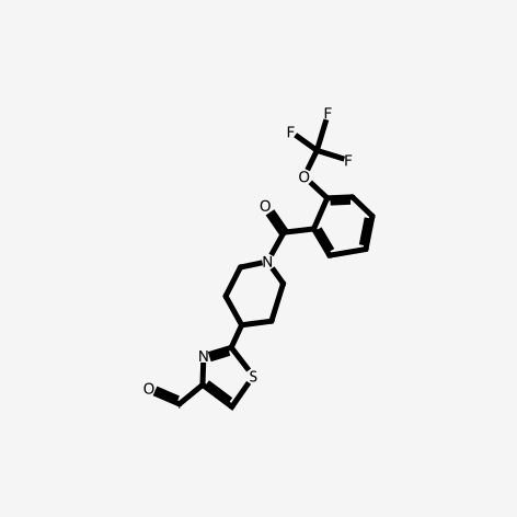 O=[C]c1csc(C2CCN(C(=O)c3ccccc3OC(F)(F)F)CC2)n1